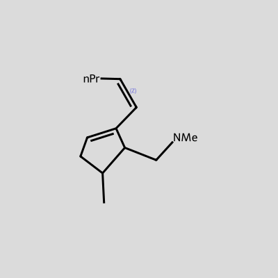 CCC/C=C\C1=CCC(C)C1CNC